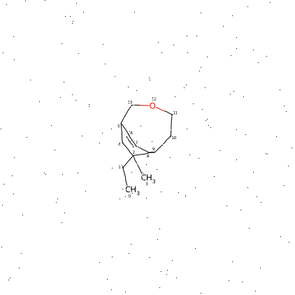 CCC1(C)CC2C=CCC1CCOC2